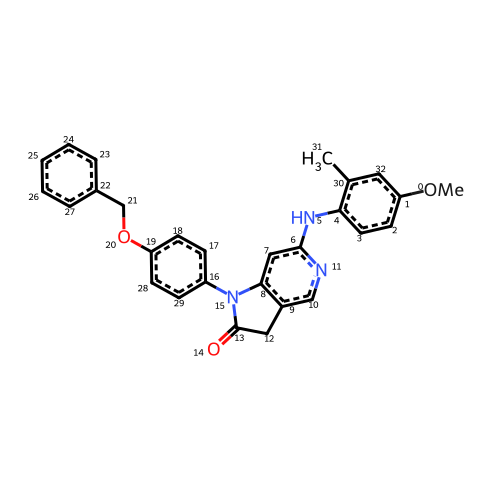 COc1ccc(Nc2cc3c(cn2)CC(=O)N3c2ccc(OCc3ccccc3)cc2)c(C)c1